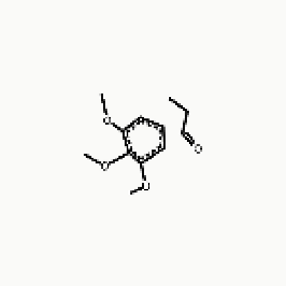 CCC=O.COc1cccc(OC)c1OC